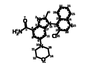 Cc1nc2c(C(N)=O)cc(N3CCOCC3)cc2n1-c1c(Cl)cnc2ccccc12